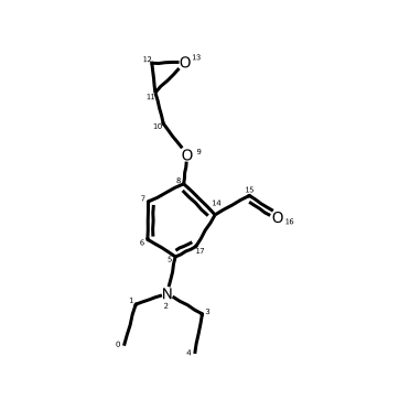 CCN(CC)c1ccc(OCC2CO2)c(C=O)c1